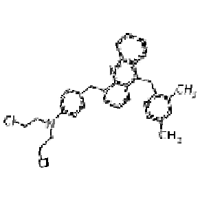 Cc1ccc(Cc2c3ccccc3nc3c(Cc4ccc(N(CCCl)CCCl)cc4)cccc23)c(C)c1